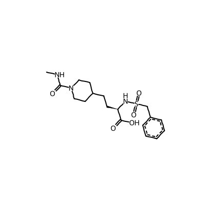 CNC(=O)N1CCC(CC[C@@H](NS(=O)(=O)Cc2ccccc2)C(=O)O)CC1